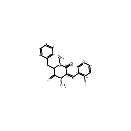 CN1C(=O)C(Cc2ccccc2)N(C)C(=O)/C1=C\c1cnccc1I